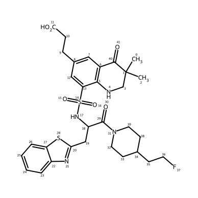 CC1(C)CNc2c(cc(CCC(=O)O)cc2S(=O)(=O)NC(Cc2nc3ccccc3s2)C(=O)N2CCC(CCF)CC2)C1=O